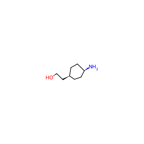 N[C@H]1CC[C@@H](CCO)CC1